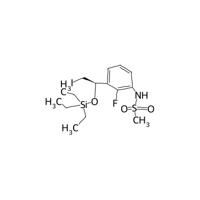 CC[Si](CC)(CC)O[C@@H](CI)c1cccc(NS(C)(=O)=O)c1F